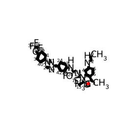 CCCNc1ccc(C(C)C)c(N2C(=O)CSC2=NC(=O)Nc2ccc(-c3ncn(-c4ccc(OC(F)(F)F)cc4)n3)cc2F)c1